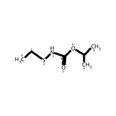 CCSNC(=O)OC(C)C